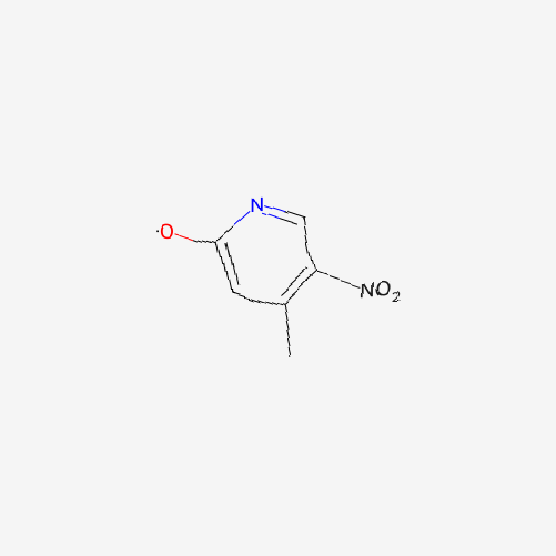 Cc1cc([O])ncc1[N+](=O)[O-]